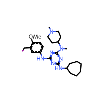 COc1ccc(Nc2nc(NC3CCCCCC3)nc(N(C)C3CCN(C)CC3)n2)cc1CI